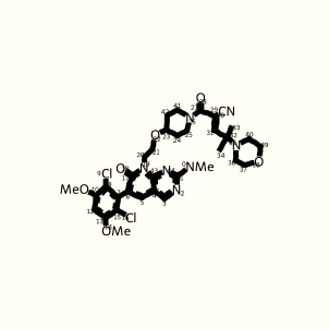 CNc1ncc2cc(-c3c(Cl)c(OC)cc(OC)c3Cl)c(=O)n(CCOC3CCN(C(=O)C(C#N)=CC(C)(C)N4CCOCC4)CC3)c2n1